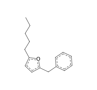 CCCCCc1ccc(Cc2ccccc2)o1